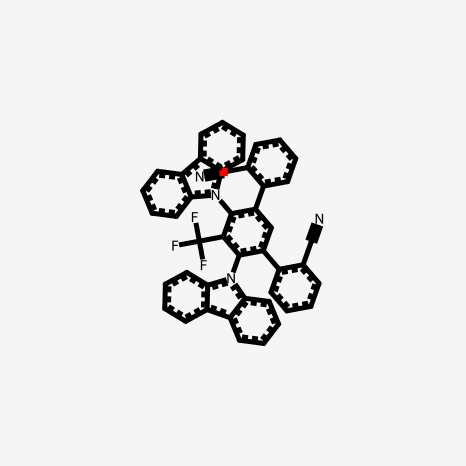 N#Cc1ccccc1-c1cc(-c2ccccc2C#N)c(-n2c3ccccc3c3ccccc32)c(C(F)(F)F)c1-n1c2ccccc2c2ccccc21